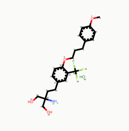 COc1ccc(CCCOc2ccc(CCC(N)(CO)CO)cc2C(F)(F)F)cc1.Cl